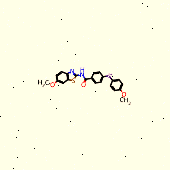 COc1ccc([I+]c2ccc(C(=O)Nc3nc4ccc(OC)cc4s3)cc2)cc1